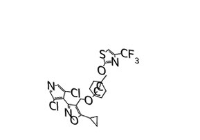 FC(F)(F)c1csc(OCC23CCC(OCc4c(-c5c(Cl)cncc5Cl)noc4C4CC4)(CC2)CC3)n1